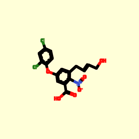 O=C(O)c1cc(Oc2ccc(Cl)cc2Cl)cc(CC=CCO)c1[N+](=O)[O-]